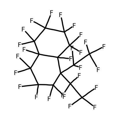 FC(F)(F)C(F)(F)C1(C(F)(F)C(F)(F)F)C(F)(F)C(F)(F)C(F)(F)C2(F)C(F)(F)C(F)(F)C(F)(F)C(F)(F)C21F